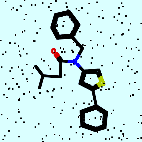 CC(C)CC(=O)N(Cc1ccccc1)c1csc(-c2ccccc2)c1